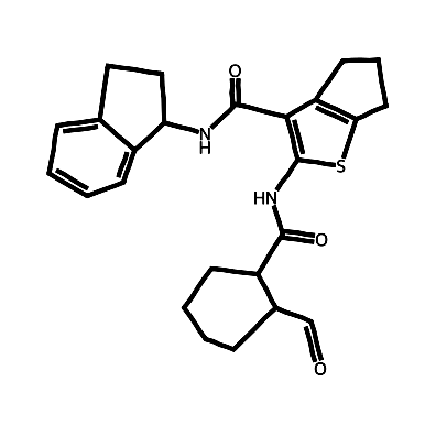 O=CC1CCCCC1C(=O)Nc1sc2c(c1C(=O)NC1CCc3ccccc31)CCC2